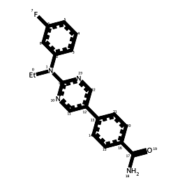 CCN(c1cccc(F)c1)c1ncc(-c2ccc(C(N)=O)cc2)cn1